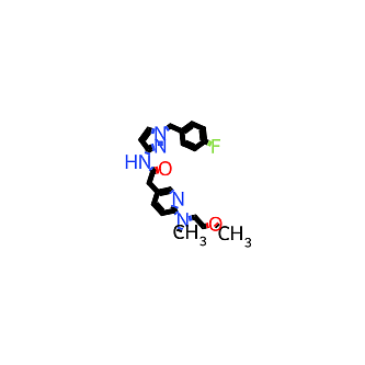 COCCN(C)c1ccc(CC(=O)Nc2ccn(Cc3ccc(F)cc3)n2)cn1